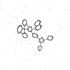 c1ccc(-c2cc(-c3ccccc3)nc(-c3ccc(-c4cc5c(cc4-c4cccc6ccccc46)-c4ccccc4C54c5ccccc5-c5ccccc54)cc3)n2)cc1